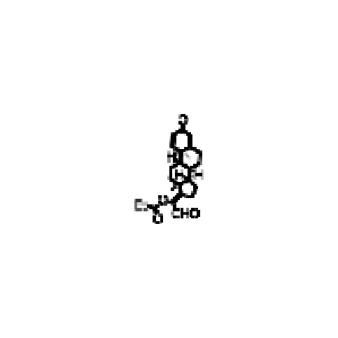 CCC(=O)OC(C=O)=C1CC[C@H]2[C@@H]3CCC4=CC(=O)C=C[C@]4(C)[C@H]3CC[C@]12C